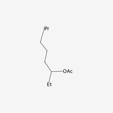 CCC(CCCC(C)C)OC(C)=O